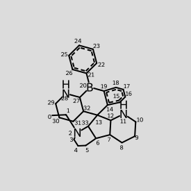 CCN1CCCC2C3CCCNC3C3(c4ccccc4B(c4ccccc4)C4NCCCC43)C21